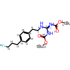 CC(C)(C)OC(=O)/N=C(/NCCc1ccc(CCCF)cc1)NC(=O)OC(C)(C)C